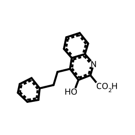 O=C(O)c1nc2ccccc2c(CCc2ccccc2)c1O